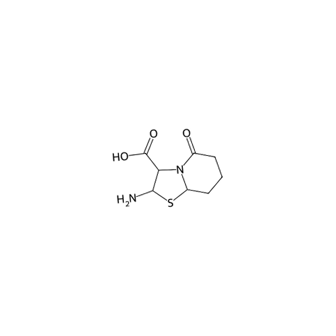 NC1SC2CCCC(=O)N2C1C(=O)O